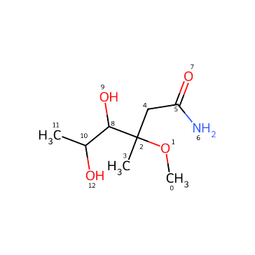 COC(C)(CC(N)=O)C(O)C(C)O